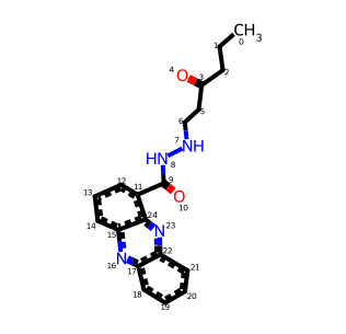 CCCC(=O)CCNNC(=O)c1cccc2nc3ccccc3nc12